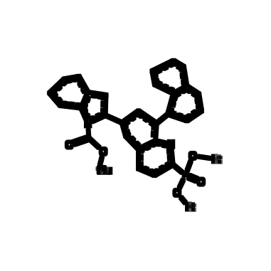 CCOP(=O)(OCC)c1ccc2cc(-c3cc4ccccc4n3C(=O)OC(C)(C)C)cc(-c3cccc4ccccc34)c2n1